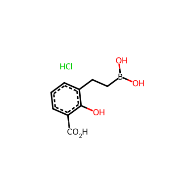 Cl.O=C(O)c1cccc(CCB(O)O)c1O